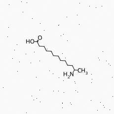 CC(N)CCCCCCCCCCC(=O)O